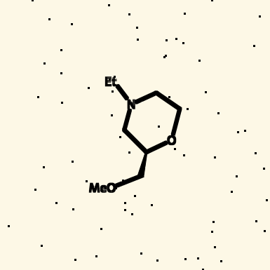 CCN1CCO[C@@H](COC)C1